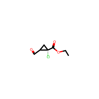 CCOC(=O)[C@]1(Cl)CC1C=O